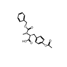 CC(=O)Oc1ccc(C[C@@H](C(=O)O)N(C)C(=O)OCc2ccccc2)cc1